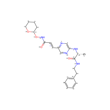 CC(C)[C@@H](Nc1cnc(/C=C/C(=O)NOC2CCCCO2)cn1)C(=O)NCCc1ccccc1